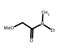 CCN(C)C(=O)COC